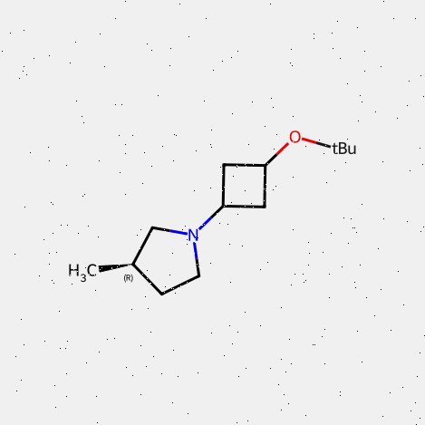 C[C@@H]1CCN(C2CC(OC(C)(C)C)C2)C1